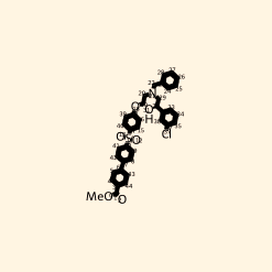 COC(=O)c1ccc(-c2ccc(S(=O)(=O)c3ccc(OCCN(Cc4ccccc4)C[C@H](O)c4cccc(Cl)c4)cc3)cc2)cc1